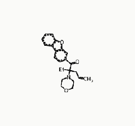 C=CCC(CC)(C(=O)c1ccc2c(c1)oc1ccccc12)N1CCOCC1